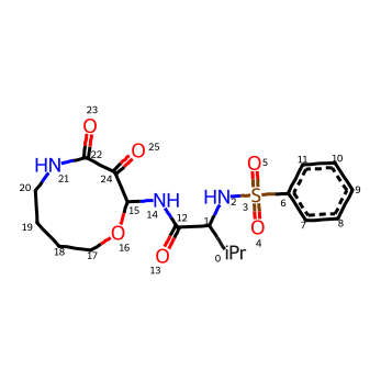 CC(C)C(NS(=O)(=O)c1ccccc1)C(=O)NC1OCCCCNC(=O)C1=O